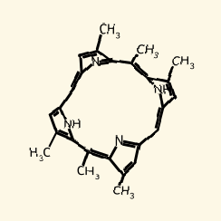 CC1=Cc2cc3cc(C)c([nH]3)c(C)c3nc(cc4cc(C)c([nH]4)c(C)c1n2)C=C3C